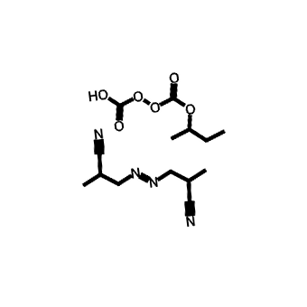 CC(C#N)CN=NCC(C)C#N.CCC(C)OC(=O)OOC(=O)O